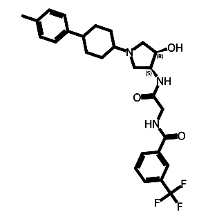 Cc1ccc(C2CCC(N3C[C@@H](O)[C@@H](NC(=O)CNC(=O)c4cccc(C(F)(F)F)c4)C3)CC2)cc1